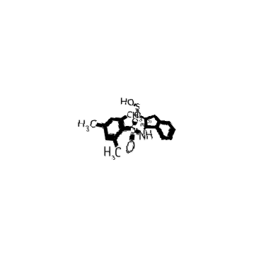 Cc1cc(C)c(S(=O)(=O)N[C@@H]2c3ccccc3C[C@@H]2OSO)c(C)c1